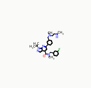 CNCCN(C)Cc1cccc(-c2cc(C(=O)N(C)Cc3cccc(F)c3)c3cnn(C(C)C)c3n2)c1